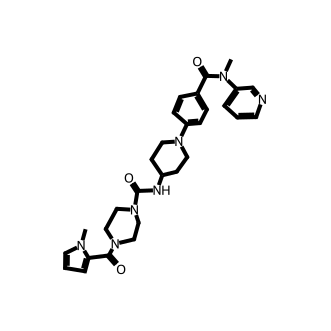 CN(C(=O)c1ccc(N2CCC(NC(=O)N3CCN(C(=O)c4cccn4C)CC3)CC2)cc1)c1cccnc1